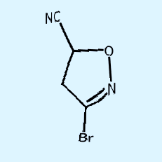 N#CC1CC(Br)=NO1